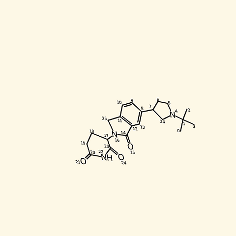 CC(C)(C)N1CCC(c2ccc3c(c2)C(=O)N(C2CCC(=O)NC2=O)C3)C1